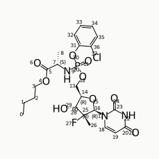 CCCCOC(=O)[C@H](C)NP(=O)(OC[C@H]1O[C@@H](n2ccc(=O)[nH]c2=O)[C@](C)(F)[C@@H]1O)Oc1ccccc1Cl